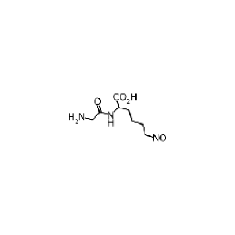 NCC(=O)NC(CCCCN=O)C(=O)O